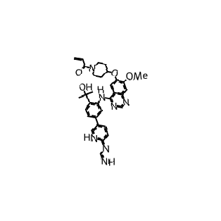 C=CC(=O)N1CCC(Oc2cc3c(Nc4cc(-c5cc/c(=N/C=N)[nH]c5)ccc4C(C)(C)O)ncnc3cc2OC)CC1